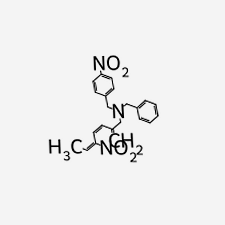 C=C(/C=C\C(=C/C)[N+](=O)[O-])CN(Cc1ccccc1)Cc1ccc([N+](=O)[O-])cc1